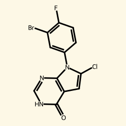 O=c1[nH]cnc2c1cc(Cl)n2-c1ccc(F)c(Br)c1